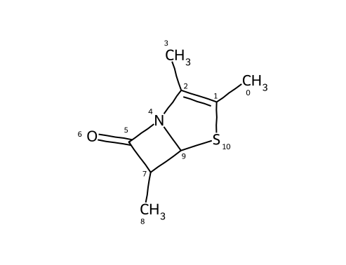 CC1=C(C)N2C(=O)C(C)C2S1